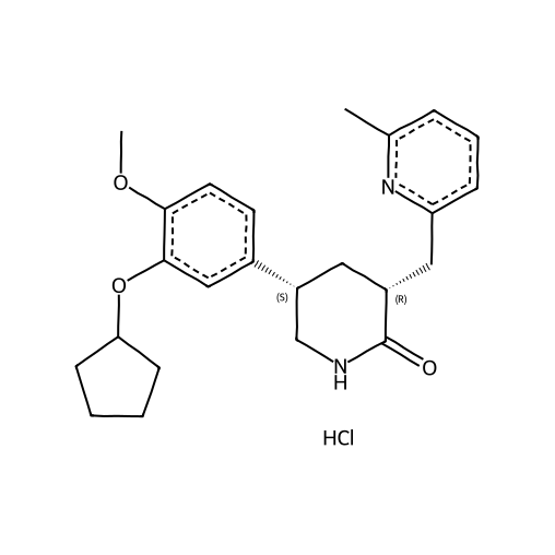 COc1ccc([C@H]2CNC(=O)[C@@H](Cc3cccc(C)n3)C2)cc1OC1CCCC1.Cl